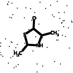 CC1NC(C)C([O])S1